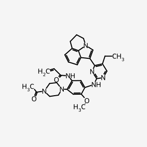 C=CC(=O)Nc1cc(Nc2ncc(CC)c(-c3cn4c5c(cccc35)CCC4)n2)c(OC)cc1N1CCN(C(C)=O)CC1